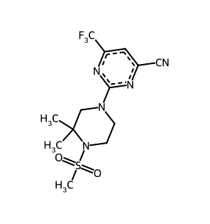 CC1(C)CN(c2nc(C#N)cc(C(F)(F)F)n2)CCN1S(C)(=O)=O